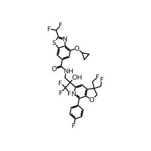 O=C(NCC(O)(c1cc2c(c(-c3ccc(F)cc3)n1)OCC2(CF)CF)C(F)(F)F)c1cc(OC2CC2)c2nc(C(F)F)sc2c1